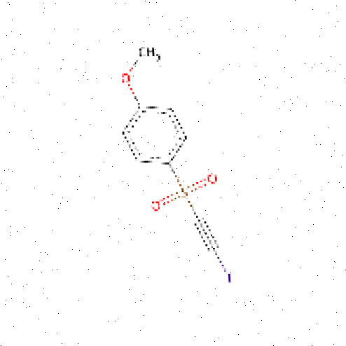 COc1ccc(S(=O)(=O)C#CI)cc1